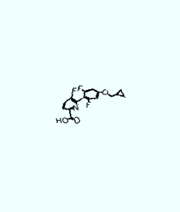 O=C(O)c1ccc(F)c(-c2c(F)cc(OCC3CC3)cc2F)n1